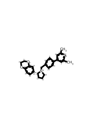 Cc1cc(-c2ccc(CN3CCC[C@@H]3c3ccc4c(c3)OCCO4)cc2)cc(C)n1